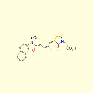 CCCCCCCCN1C(=CC=C(C)C=C2SC(=S)N(CC(=O)O)C2=O)Oc2c1ccc1ccccc21